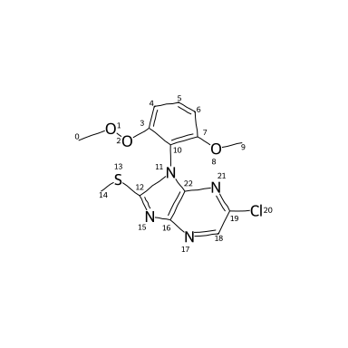 COOc1cccc(OC)c1-n1c(SC)nc2ncc(Cl)nc21